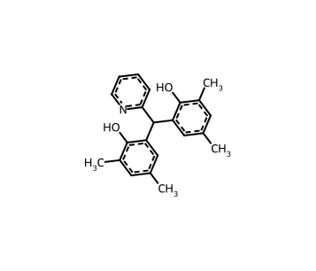 Cc1cc(C)c(O)c(C(c2ccccn2)c2cc(C)cc(C)c2O)c1